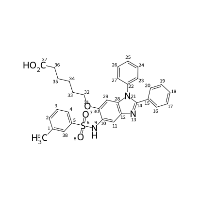 Cc1cccc(S(=O)(=O)Nc2cc3nc(-c4ccccc4)n(-c4ccccc4)c3cc2OCCCCCC(=O)O)c1